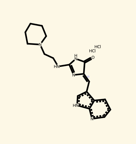 Cl.Cl.O=C1NC(NCCN2CCCCC2)=N/C1=C\c1c[nH]c2ncccc12